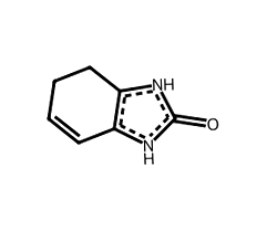 O=c1[nH]c2c([nH]1)CCC=C2